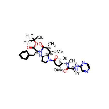 CC[C@H](C)[C@@H]([C@@H](CC(=O)N1CCC[C@H]1[C@H](OC)[C@@H](C)C(=O)N[C@@H](Cc1ccccc1)C(=O)OC(C)(C)C(C)(C)C)OC)N(C)C(=O)[C@@H](Nc1cnccn1)C(C)C